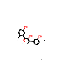 C/C(=C(/O)C(=O)c1cc(O)ccc1C)c1cccc(O)c1